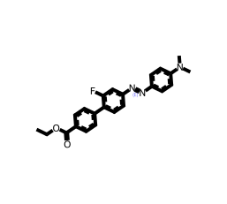 CCOC(=O)c1ccc(-c2ccc(/N=N/c3ccc(N(C)C)cc3)cc2F)cc1